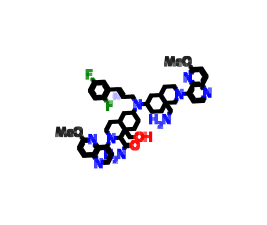 COc1ccc2nccc(N3CCC4CC(N(C/C=C/c5cc(F)ccc5F)C5CCC6(CO)C(CCN(c7ccnc8ccc(OC)nc78)C6C(N)=O)C5)CCC4(CN)C3)c2n1